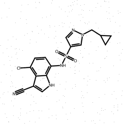 N#Cc1c[nH]c2c(NS(=O)(=O)c3cnn(CC4CC4)c3)ccc(Cl)c12